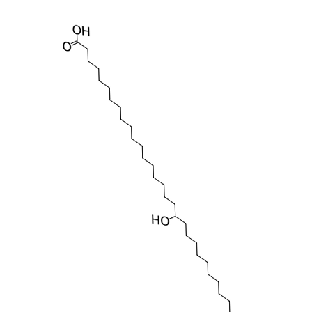 CCCCCCCCCCCC(O)CCCCCCCCCCCCCCCCCC(=O)O